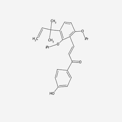 C=CC(C)(C)c1ccc(OC(C)C)c(C=CC(=O)c2ccc(O)cc2)c1OC(C)C